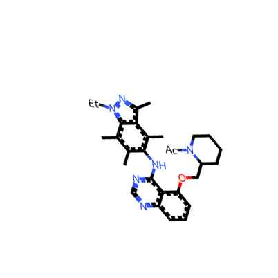 CCn1nc(C)c2c(C)c(Nc3ncnc4cccc(OCC5CCCCN5C(C)=O)c34)c(C)c(C)c21